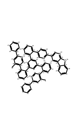 Cc1cc(-c2ccccc2)ncc1-c1ccccc1-c1cc(-c2ccccc2-c2ccc(-c3cnc4oc5ccccc5c4c3)nc2)cc(-c2ccccc2-c2cnc(-c3ccccc3)cc2C)c1